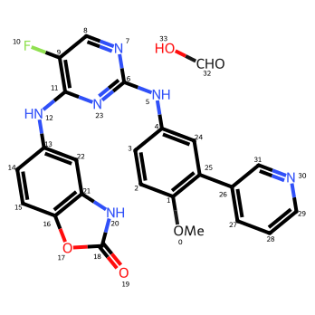 COc1ccc(Nc2ncc(F)c(Nc3ccc4oc(=O)[nH]c4c3)n2)cc1-c1cccnc1.O=CO